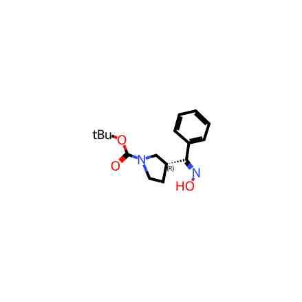 CC(C)(C)OC(=O)N1CC[C@@H](C(=NO)c2ccccc2)C1